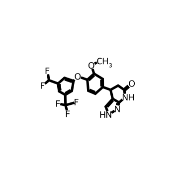 COc1cc(C2CC(=O)Nc3n[nH]cc32)ccc1Oc1cc(C(F)F)cc(C(F)(F)F)c1